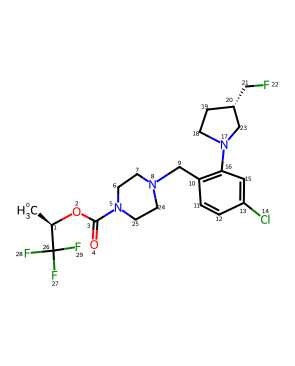 C[C@@H](OC(=O)N1CCN(Cc2ccc(Cl)cc2N2CC[C@H](CF)C2)CC1)C(F)(F)F